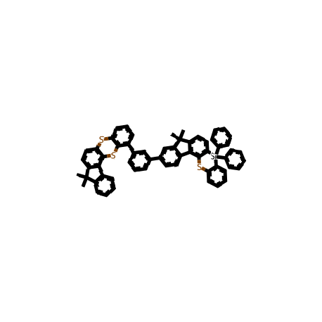 CC1(C)c2ccccc2-c2c1ccc1c2Sc2c(cccc2-c2cccc(-c3ccc4c(c3)C(C)(C)c3ccc5c(c3-4)Sc3ccccc3[Si]5(c3ccccc3)c3ccccc3)c2)S1